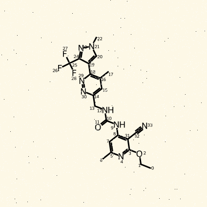 CCOc1nc(C)cc(NC(=O)NCc2cc(C)c(-c3cn(C)nc3C(F)(F)F)nn2)c1C#N